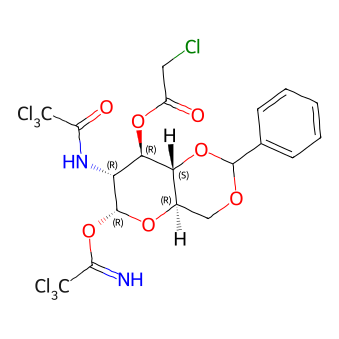 N=C(O[C@H]1O[C@@H]2COC(c3ccccc3)O[C@H]2[C@H](OC(=O)CCl)[C@H]1NC(=O)C(Cl)(Cl)Cl)C(Cl)(Cl)Cl